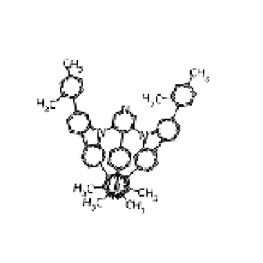 Cc1ccc(-c2ccc3c4ccc(-c5ccc(C)cc5C)cc4n(-c4cncc(-n5c6cc(-c7ccc(C)cc7C)ccc6c6ccc(-c7ccc(C)cc7C)cc65)c4-c4ccc(C#N)cc4)c3c2)c(C)c1